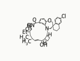 CC[C@@H]1[C@@H](C)[C@@H](C)/C=C/[C@H](O)[C@@H]2CC[C@H]2CN2C[C@@]3(CCCc4cc(Cl)ccc43)COc3ccc(cc32)C(=O)NS1(=O)=O